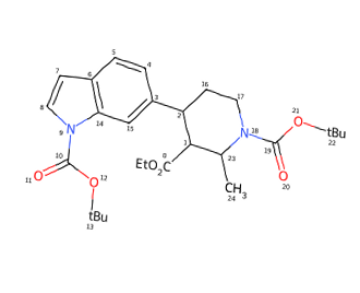 CCOC(=O)C1C(c2ccc3ccn(C(=O)OC(C)(C)C)c3c2)CCN(C(=O)OC(C)(C)C)C1C